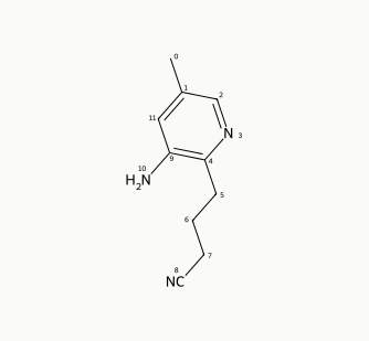 Cc1cnc(CCCC#N)c(N)c1